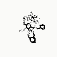 C[C@@H]1C(N=[N+]=[N-])[C@H](O[Si](C)(C)C(C)(C)C)OC(COCc2ccccc2)[C@H]1OP1(=O)OCc2ccccc2CO1